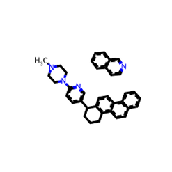 CN1CCN(c2ccc(C3CCCc4c3ccc3c4ccc4ccccc43)cn2)CC1.c1ccc2cnccc2c1